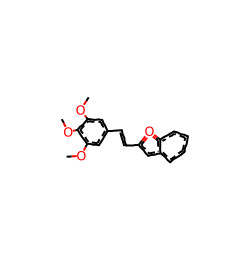 COc1cc(C=Cc2cc3ccccc3o2)cc(OC)c1OC